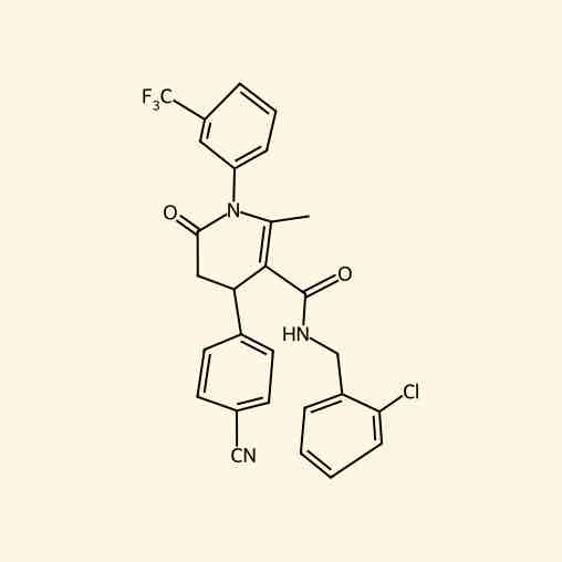 CC1=C(C(=O)NCc2ccccc2Cl)C(c2ccc(C#N)cc2)CC(=O)N1c1cccc(C(F)(F)F)c1